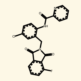 O=C(Nc1ccc(Cl)cc1CN1C(=O)c2cccc(F)c2C1=O)c1ccccn1